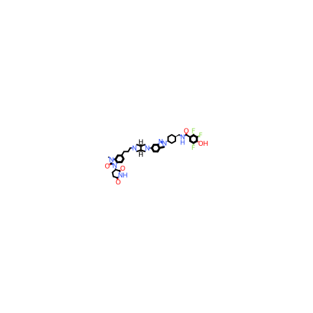 Cn1c(=O)n(C2CCC(=O)NC2=O)c2ccc(CCCN3C[C@@H]4CN(c5ccc6cn([C@H]7CC[C@H](CNC(=O)c8cc(F)c(O)c(F)c8F)CC7)nc6c5)C[C@@H]4C3)cc21